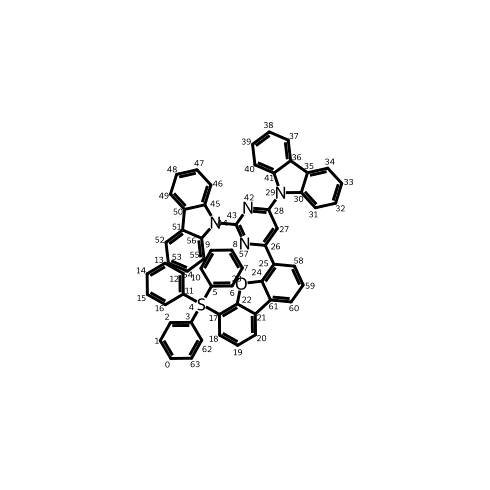 c1ccc(S(c2ccccc2)(c2ccccc2)c2cccc3c2oc2c(-c4cc(-n5c6ccccc6c6ccccc65)nc(-n5c6ccccc6c6ccccc65)n4)cccc23)cc1